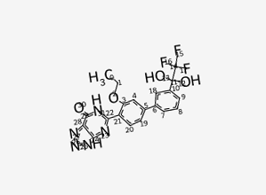 CCOc1cc(-c2cccc(C(O)(O)C(F)(F)F)c2)ccc1-c1nc2[nH]nnc2c(=O)[nH]1